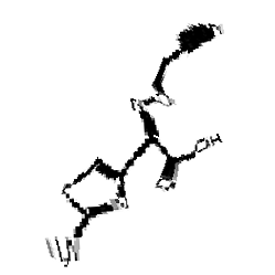 N#CCON=C(C(=O)O)c1csc(N)n1